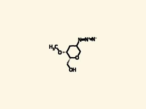 CO[C@@H]1CC(N=[N+]=[N-])CO[C@@H]1CO